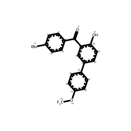 CC(C)(C)c1ccc(C(=O)c2cc(-c3ccc(OC(F)(F)F)cc3)ccc2O)cc1